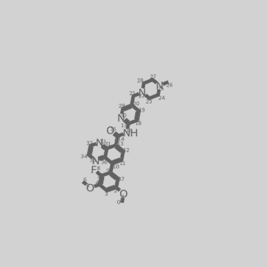 COc1cc(OC)c(F)c(-c2ccc(C(=O)Nc3ccc(CN4CCN(C)CC4)cn3)c3nccnc23)c1